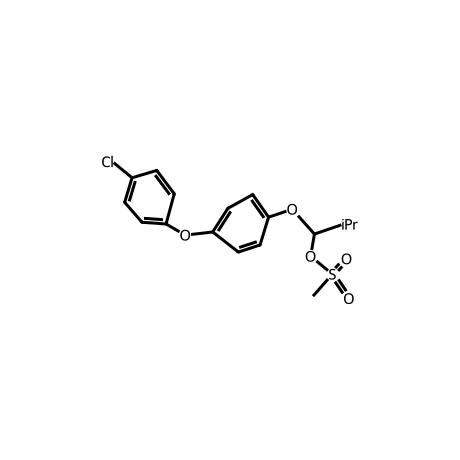 CC(C)C(Oc1ccc(Oc2ccc(Cl)cc2)cc1)OS(C)(=O)=O